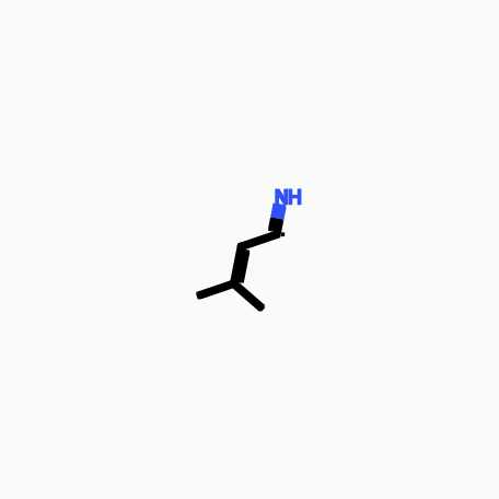 CC(C)=C[C]=N